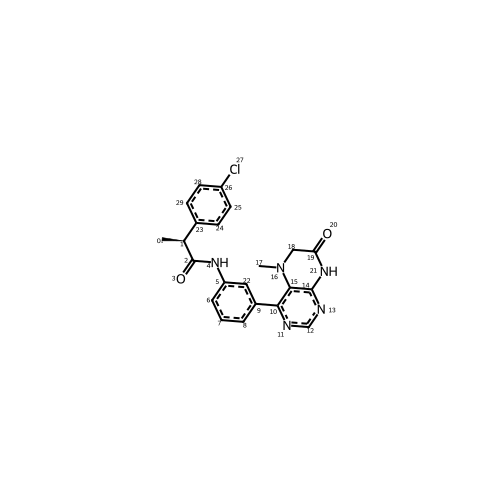 [CH2][C@H](C(=O)Nc1cccc(-c2ncnc3c2N(C)CC(=O)N3)c1)c1ccc(Cl)cc1